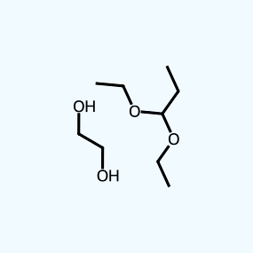 CCOC(CC)OCC.OCCO